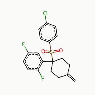 C=C1CCC(c2cc(F)ccc2F)(S(=O)(=O)c2ccc(Cl)cc2)CC1